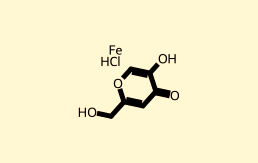 Cl.O=c1cc(CO)occ1O.[Fe]